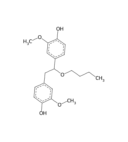 CCCCOC(Cc1ccc(O)c(OC)c1)c1ccc(O)c(OC)c1